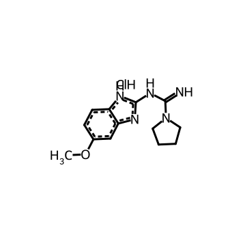 COc1ccc2[nH]c(NC(=N)N3CCCC3)nc2c1.Cl